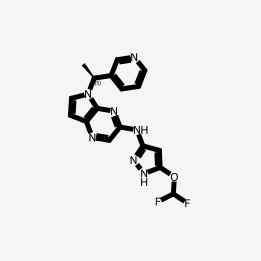 C[C@@H](c1cccnc1)n1ccc2ncc(Nc3cc(OC(F)F)[nH]n3)nc21